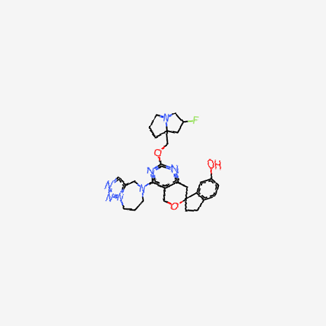 Oc1ccc2c(c1)C1(CC2)Cc2nc(OCC34CCCN3CC(F)C4)nc(N3CCCn4nncc4C3)c2CO1